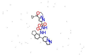 O=C(Nc1c(-c2ccn3nccc3c2)ccc2c1CCC2)NS(=O)(=O)c1cc2n(n1)CCO[C@H]2C1CC1